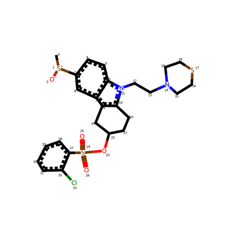 C[S+]([O-])c1ccc2c(c1)c1c(n2CCN2CCSCC2)CCC(OS(=O)(=O)c2ccccc2Cl)C1